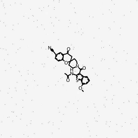 COc1cccc2c(C(=O)N3CCC4(CC3)CC(=O)c3cc(C#N)ccc3O4)c(NC(C)=O)sc12